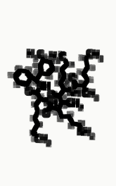 C=CCCCCC(NC(=O)C(CCCCN)C(=C)C(=O)C(CCCCC)NC(=C)C(C)CCCCC)C(=O)NC(C1=CC(C)CC=C1)c1ccccc1